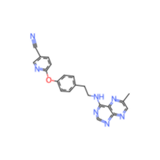 Cc1cnc2ncnc(NCCc3ccc(Oc4ccc(C#N)cn4)cc3)c2n1